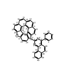 c1ccc(-c2nc(-n3c4ccc5ccc6ccc7ccc8oc9ccc3c3c9c8c7c6c5c34)nc3c2ccc2ccccc23)cc1